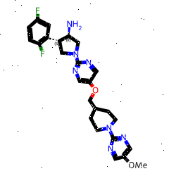 COc1cnc(N2CCC(COc3cnc(N4C[C@H](c5cc(F)ccc5F)[C@@H](N)C4)nc3)CC2)nc1